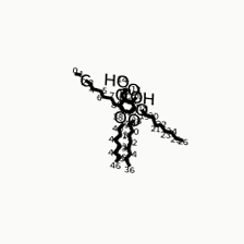 CCCCCCCCCc1c(OC(=O)O)c(O)c(OCCCCCCCC)c(OCCCCCCCC)c1OCCCCCCCC